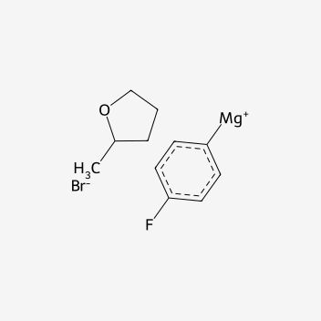 CC1CCCO1.Fc1cc[c]([Mg+])cc1.[Br-]